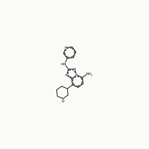 Nc1ccc(C2CCCNC2)c2nc(Nc3cccnc3)nn12